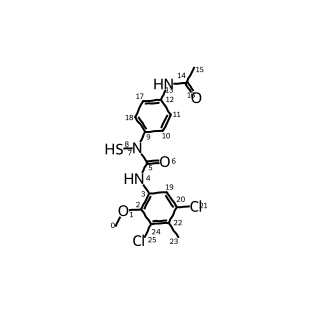 COc1c(NC(=O)N(S)c2ccc(NC(C)=O)cc2)cc(Cl)c(C)c1Cl